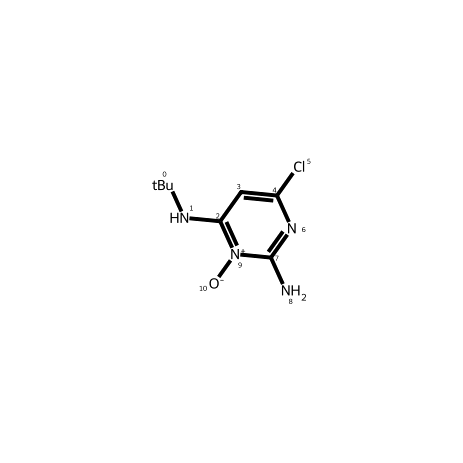 CC(C)(C)Nc1cc(Cl)nc(N)[n+]1[O-]